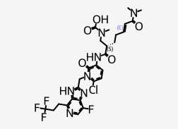 CN(C)C(=O)/C=C/CC[C@@H](CN(C)C(=O)O)C(=O)Nc1ccc(Cl)n(Cc2nc3c(F)cnc(CCC(F)(F)F)c3[nH]2)c1=O